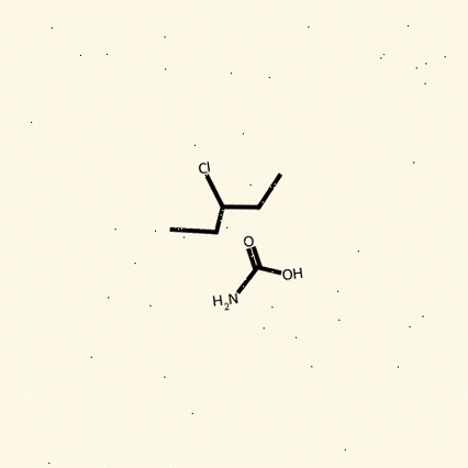 CCC(Cl)CC.NC(=O)O